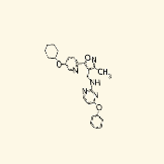 Cc1noc(-c2ccc(OC3CCCCC3)cn2)c1CNc1nccc(Oc2ccccc2)n1